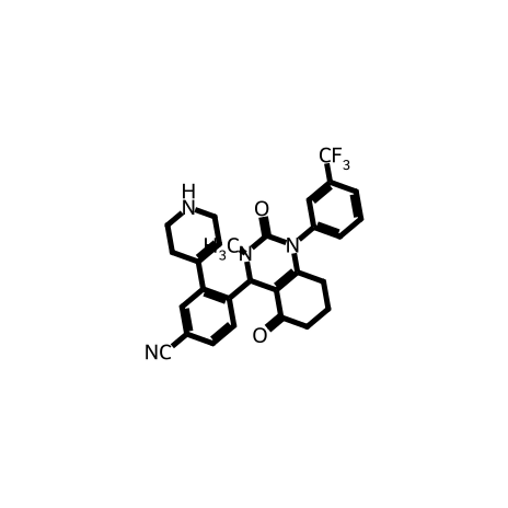 CN1C(=O)N(c2cccc(C(F)(F)F)c2)C2=C(C(=O)CCC2)C1c1ccc(C#N)cc1C1=CCNCC1